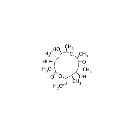 C=C[C@H]1OC(=O)[C@H](C)[C@@H](O)[C@H](C)[C@@H](O)[C@@H](C)C[C@@H](C)C(=O)[C@H](C)[C@@H](O)[C@H]1C